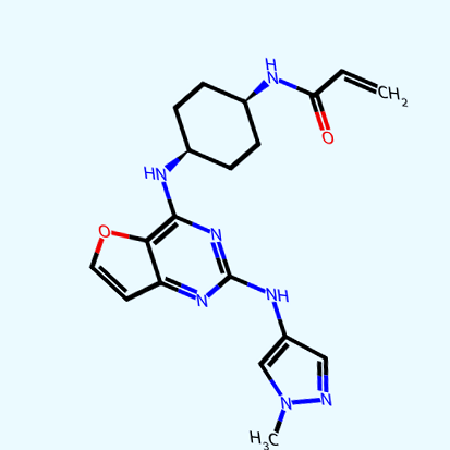 C=CC(=O)N[C@H]1CC[C@@H](Nc2nc(Nc3cnn(C)c3)nc3ccoc23)CC1